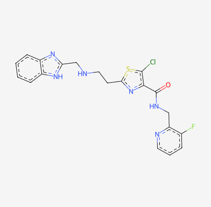 O=C(NCc1ncccc1F)c1nc(CCNCc2nc3ccccc3[nH]2)sc1Cl